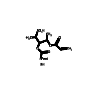 [CH2]C(C(OC(=O)CCCCC)C(C)OC(=O)C=C)S(=O)(=O)O.[KH]